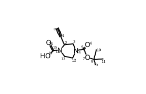 C#CC1CN(C(=O)OC(C)(C)C)CCN1C(=O)O